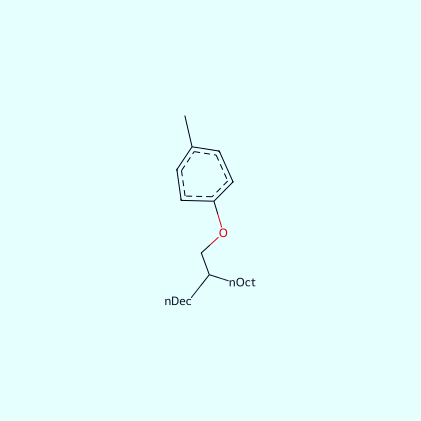 CCCCCCCCCCC(CCCCCCCC)COc1ccc(C)cc1